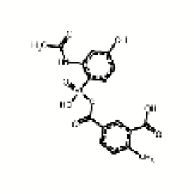 CC(=O)Nc1cc(O)ccc1[As](=O)(O)OC(=O)c1ccc(C)c(C(=O)O)c1